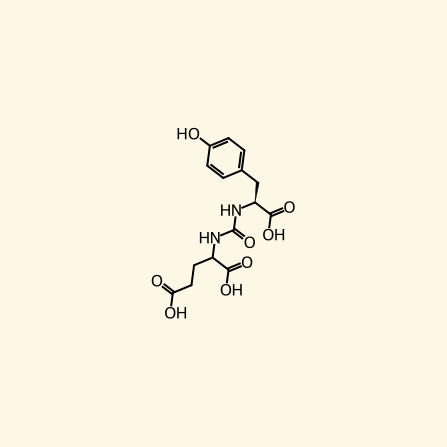 O=C(O)CCC(NC(=O)N[C@@H](Cc1ccc(O)cc1)C(=O)O)C(=O)O